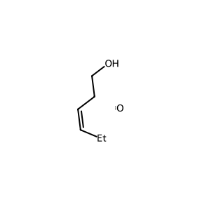 CC/C=C\CCO.[O]